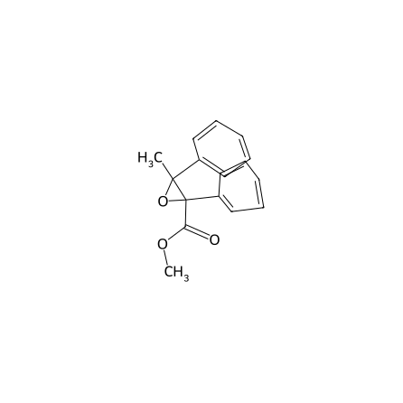 COC(=O)C1(c2ccccc2)OC1(C)c1ccccc1